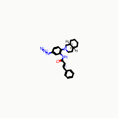 [N-]=[N+]=Nc1ccc(N2CC[C@H]3CCCC[C@@H]3C2)c(NC(=O)/C=C/c2ccccc2)c1